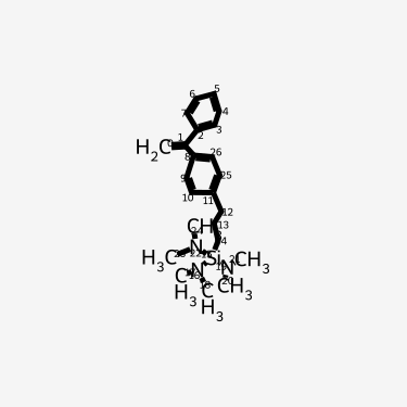 C=C(c1ccccc1)c1ccc(CCC[Si](N(C)C)(N(C)C)N(C)C)cc1